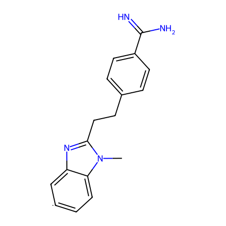 Cn1c(CCc2ccc(C(=N)N)cc2)nc2c[c]ccc21